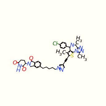 Cc1c(C#Cc2cnn(CCCCCc3ccc4c(c3)CN(C3CCC(=O)NC3=O)C4=O)c2)sc2c1C(c1ccc(Cl)cc1)=N[C@@H](C)c1nnc(C)n1-2